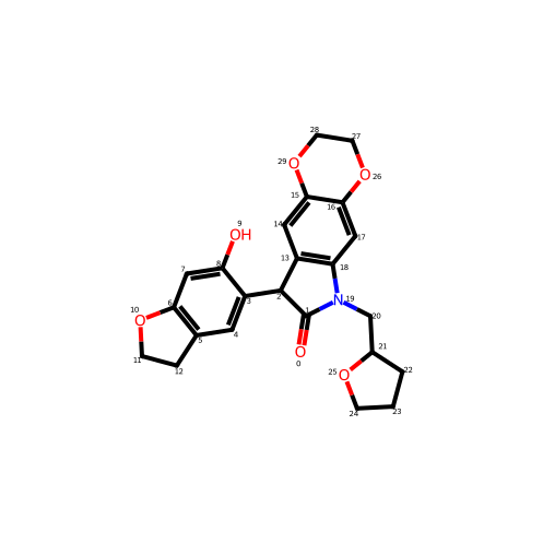 O=C1C(c2cc3c(cc2O)OCC3)c2cc3c(cc2N1CC1CCCO1)OCCO3